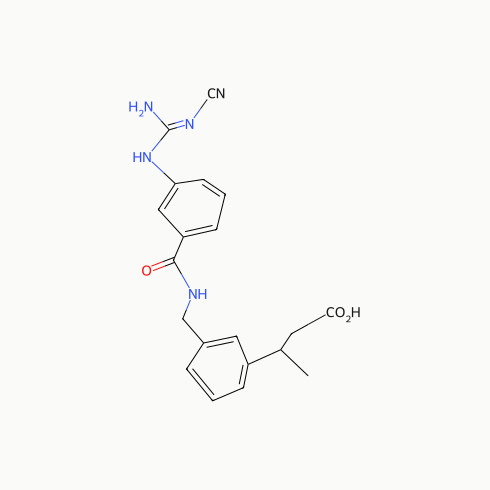 CC(CC(=O)O)c1cccc(CNC(=O)c2cccc(NC(N)=NC#N)c2)c1